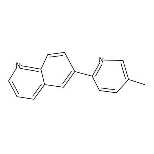 Cc1ccc(-c2ccc3ncccc3c2)nc1